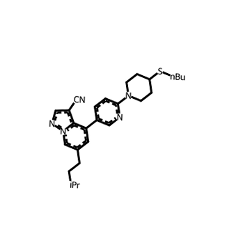 CCCCSC1CCN(c2ccc(-c3cc(CCC(C)C)cn4ncc(C#N)c34)cn2)CC1